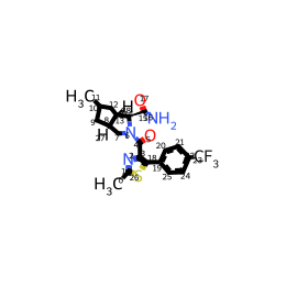 Cc1nc(C(=O)N2C[C@@H]3CC(C)C[C@@H]3[C@H]2C(N)=O)c(-c2ccc(C(F)(F)F)cc2)s1